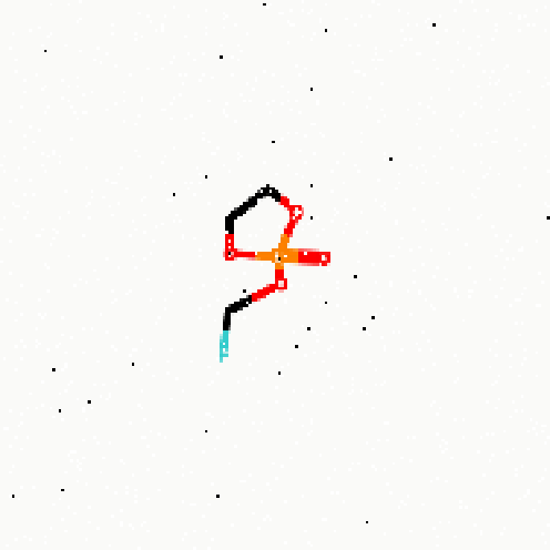 O=P1(OCF)OCCO1